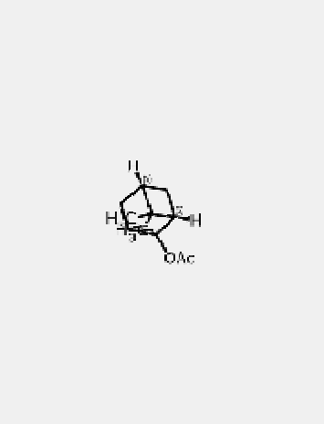 CC(=O)OC1=CC[C@@H]2C[C@H]1C2(C)C